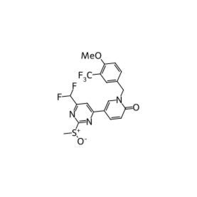 COc1ccc(Cn2cc(-c3cc(C(F)F)nc([S+](C)[O-])n3)ccc2=O)cc1C(F)(F)F